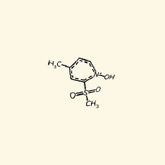 Cc1cc[n+](O)c(S(C)(=O)=O)c1